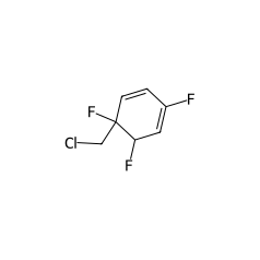 FC1=CC(F)C(F)(CCl)C=C1